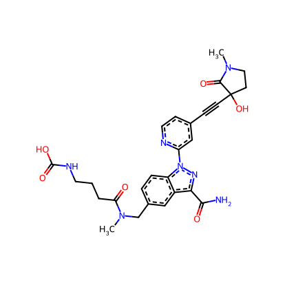 CN(Cc1ccc2c(c1)c(C(N)=O)nn2-c1cc(C#CC2(O)CCN(C)C2=O)ccn1)C(=O)CCCNC(=O)O